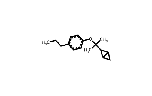 CCCc1ccc(OC(C)(C)C2C3CC32)cc1